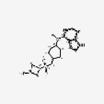 CN(c1ncnc2[nH]ccc12)C1CCC(CS(=O)(=O)N2CC(F)C2)CC1